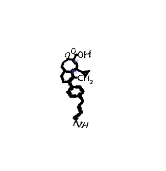 CC1=C(c2ccc(CCCC=N)cc2)C=CC2CCC(=O)/C(C(=O)O)=C\C(C3CC3)=C\12